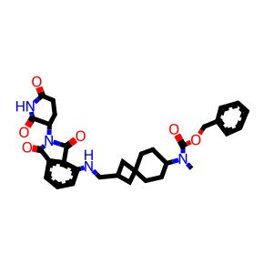 CN(C(=O)OCc1ccccc1)C1CCC2(CC1)CC(CNc1cccc3c1C(=O)N(C1CCC(=O)NC1=O)C3=O)C2